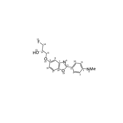 CNc1ccc(-c2nc3cc(OC[C@H](O)CF)ccc3o2)cc1